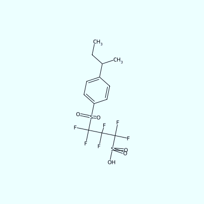 CCC(C)c1ccc(S(=O)(=O)C(F)(F)C(F)(F)C(F)(F)S(=O)(=O)O)cc1